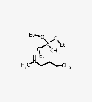 CCCCNC.CCO[Si](C)(OCC)OCC